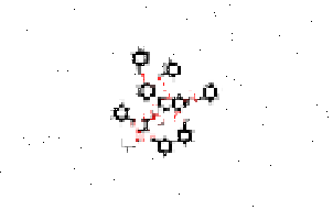 COC(=O)[C@H](OCc1ccccc1)[C@@H](OCc1ccccc1)C(=O)O[C@H]1Cc2c(OCc3ccccc3)cc(OCc3ccccc3)cc2O[C@@H]1c1cccc(OCc2ccccc2)c1OCc1ccccc1